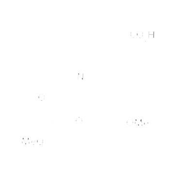 COC(=O)Oc1ncc(C(=O)O)cc1OC